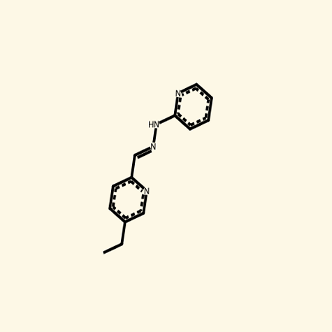 CCc1ccc(C=NNc2ccccn2)nc1